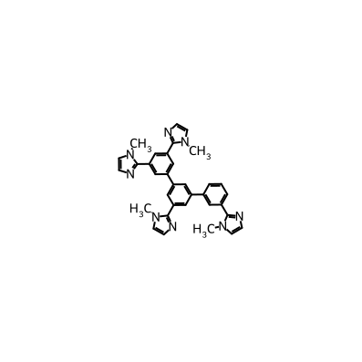 Cn1ccnc1-c1cccc(-c2cc(-c3cc(-c4nccn4C)cc(-c4nccn4C)c3)cc(-c3nccn3C)c2)c1